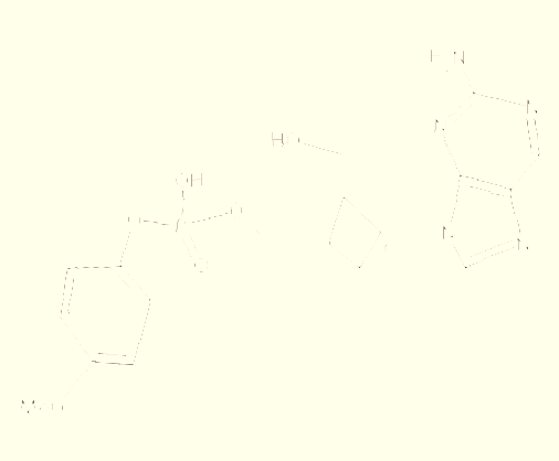 COc1ccc(OP(=O)(O)OC[C@H]2C[C@@H](n3cnc4cnc(N)nc43)[C@H]2CO)cc1